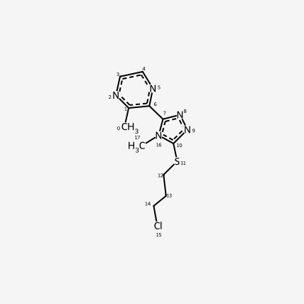 Cc1nccnc1-c1nnc(SCCCCl)n1C